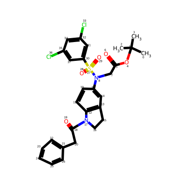 CC(C)(C)OC(=O)CN(c1ccc2c(c1)CCN2C(=O)Cc1ccccc1)S(=O)(=O)c1cc(Cl)cc(Cl)c1